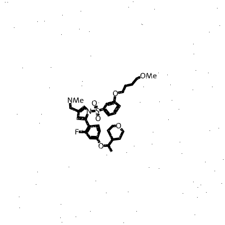 CNCc1cc(-c2ccc(OC(C)C3CCOCC3)cc2F)n(S(=O)(=O)c2cccc(OCCCCOC)c2)c1